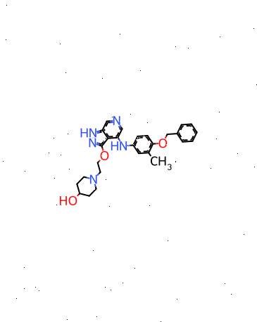 Cc1cc(Nc2cncc3[nH]nc(OCCN4CCC(O)CC4)c23)ccc1OCc1ccccc1